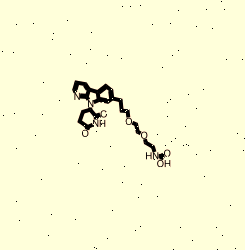 O=C(O)NCCOCCOCCCc1ccc2c3cccnc3n(C3CCC(=O)NC3=O)c2c1